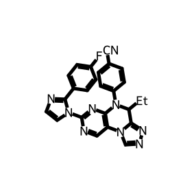 CCC1c2nncn2-c2cnc(-n3ccnc3-c3ccc(F)cc3)nc2N1c1ccc(C#N)cc1